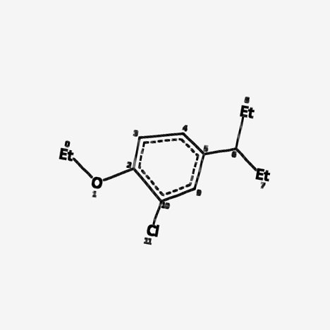 CCOc1ccc(C(CC)CC)cc1Cl